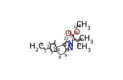 C=Cc1ccc2c(c1)CCc1nn(C(C(=O)OCC)C(C)C)cc1-2